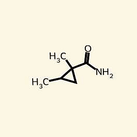 CC1CC1(C)C(N)=O